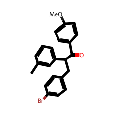 COc1ccc(C(=O)C(Cc2ccc(Br)cc2)c2cccc(C)c2)cc1